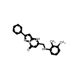 Cc1cccc(NCc2cc(=O)n3nc(-c4ccccc4)cc3[nH]2)c1C